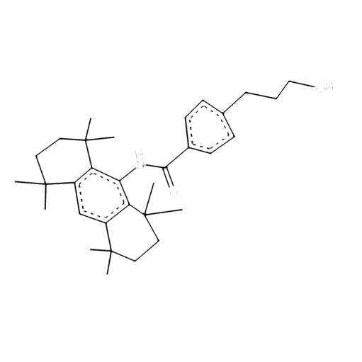 CC1(C)CCC(C)(C)c2c1cc1c(c2NC(=O)c2[c]cc(CCCO)cc2)C(C)(C)CCC1(C)C